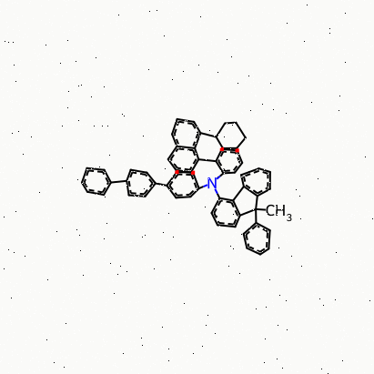 CC1(c2ccccc2)c2ccccc2-c2c(N(c3ccc(-c4ccc(-c5ccccc5)cc4)cc3)c3ccccc3-c3cccc4cccc(C5CCCCC5)c34)cccc21